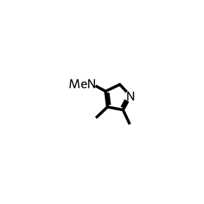 CNC1=C(C)C(C)=NC1